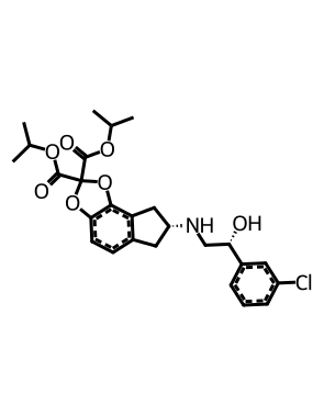 CC(C)OC(=O)C1(C(=O)OC(C)C)Oc2ccc3c(c2O1)C[C@H](NC[C@H](O)c1cccc(Cl)c1)C3